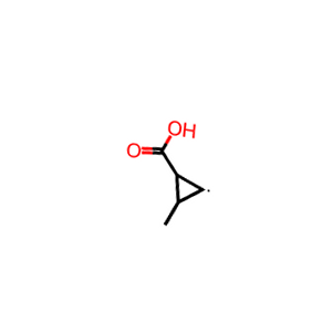 CC1[CH]C1C(=O)O